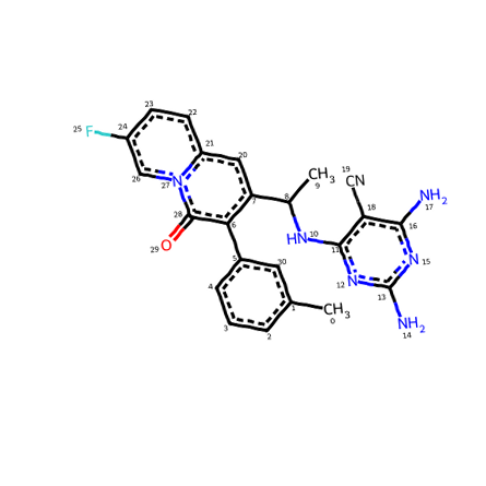 Cc1cccc(-c2c(C(C)Nc3nc(N)nc(N)c3C#N)cc3ccc(F)cn3c2=O)c1